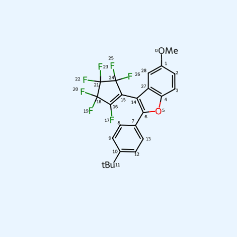 COc1ccc2oc(-c3ccc(C(C)(C)C)cc3)c(C3=C(F)C(F)(F)C(F)(F)C3(F)F)c2c1